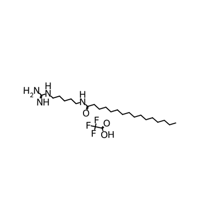 CCCCCCCCCCCCCCCC(=O)NCCCCCNC(=N)N.O=C(O)C(F)(F)F